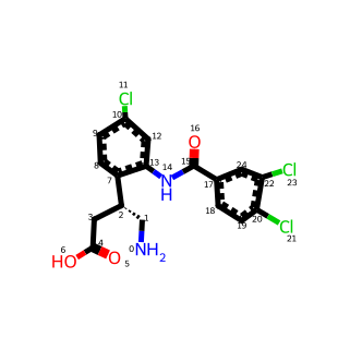 NC[C@H](CC(=O)O)c1ccc(Cl)cc1NC(=O)c1ccc(Cl)c(Cl)c1